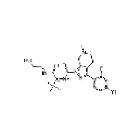 CN1CCc2c(-c3ccc(Cl)cc3F)nn(C(=O)N[C@H](C(=O)NCCO)C(C)(C)C)c2C1